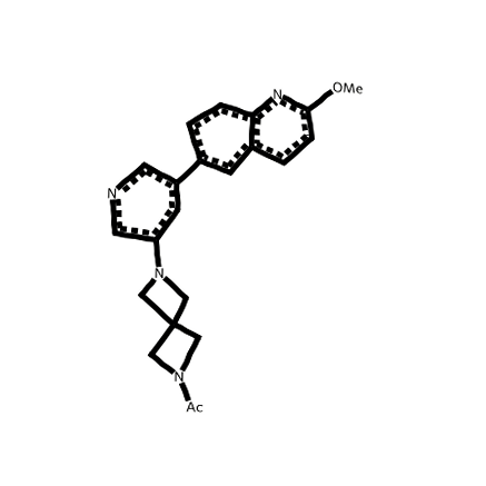 COc1ccc2cc(-c3cncc(N4CC5(CN(C(C)=O)C5)C4)c3)ccc2n1